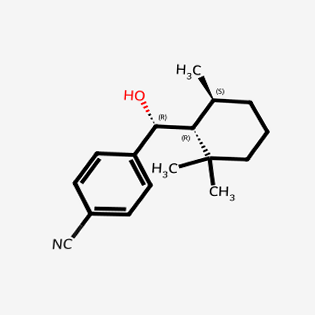 C[C@H]1CCCC(C)(C)[C@@H]1[C@@H](O)c1ccc(C#N)cc1